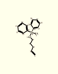 C=CCCCO[Si](CC)(c1ccccc1)c1ccccc1